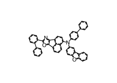 c1ccc(-c2ccc(N(c3ccc4oc5ccccc5c4c3)c3ccc4c5c(cccc35)-c3oc(-c5ccccc5-c5ccccc5)nc3-4)cc2)cc1